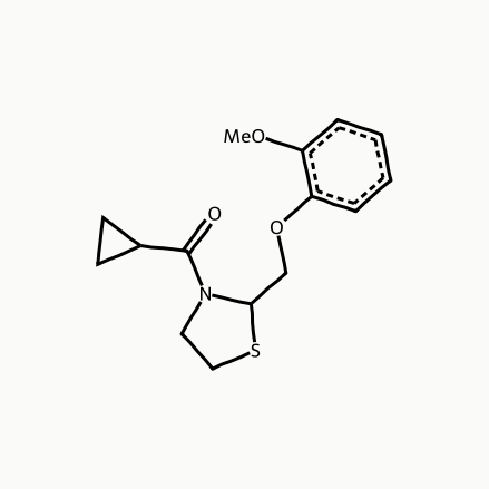 COc1ccccc1OCC1SCCN1C(=O)C1CC1